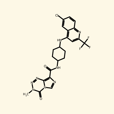 Cn1nnc2c(C(=O)NC3CCC(Nc4cc(C(F)(F)F)nc5ccc(Cl)cc45)CC3)ncn2c1=O